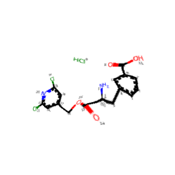 Cl.N[C@@H](Cc1cccc(C(=O)O)c1)C(=O)OCc1cc(Cl)nc(Cl)c1